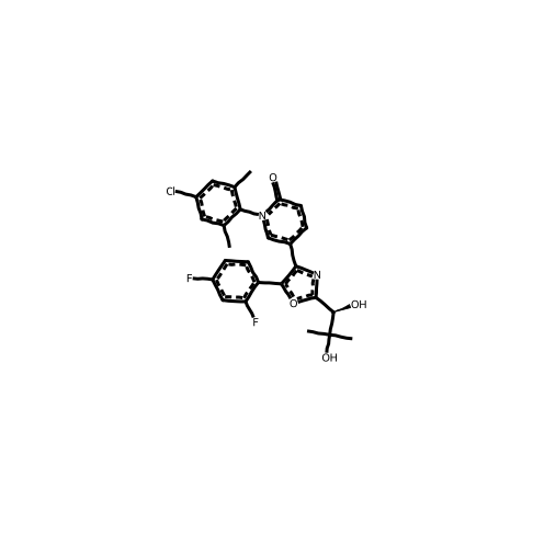 Cc1cc(Cl)cc(C)c1-n1cc(-c2nc([C@@H](O)C(C)(C)O)oc2-c2ccc(F)cc2F)ccc1=O